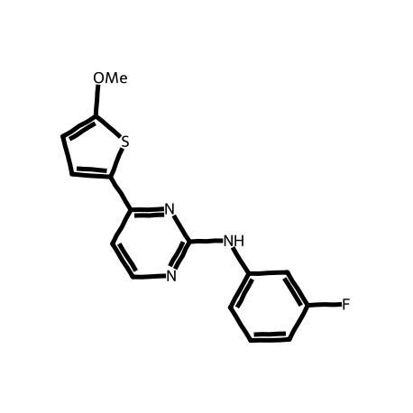 COc1ccc(-c2ccnc(Nc3cccc(F)c3)n2)s1